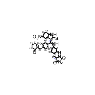 CN1C(=O)N/C(=C\c2ccc(N/C(=C3\C(=O)Nc4ccc([N+](=O)[O-])cc43)c3ccc(CN4CCCCC4=O)cc3)cc2)C1=O